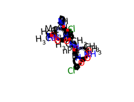 CCCO[C@]1(CN2CCN(C(C)CC3Oc4ccc5cc4N(C[C@@H]4CC[C@H]4[C@](CN4CCN6CCCC[C@@H]6C4)(OC)/C=C/C[C@H](C)[C@@H](CCN(C)C)S(=O)(=O)NC5=O)C[C@@]34CCCc3cc(Cl)ccc34)[C@H](C)C2)/C=C/C[C@H](C)[C@@H](C)S(=O)(=O)NC(=O)c2ccc3c(c2)N(CCCCc2cc(Cl)ccc2CO3)C[C@@H]2CC[C@H]21